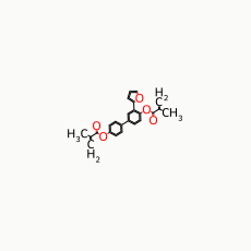 C=C(C)C(=O)Oc1ccc(-c2ccc(OC(=O)C(=C)C)c(-c3ccco3)c2)cc1